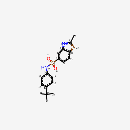 Cc1nc2cc(S(=O)(=O)Nc3ccc(C(C)(C)C)cc3)ccc2s1